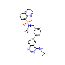 O=S(=O)(c1cccc2cccnc12)N(Cc1cc(-c2ccc3ncnc(NC4CC4)c3c2)ccc1F)C1CC1